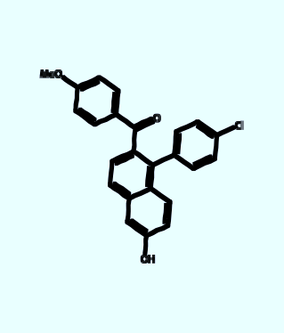 COc1ccc(C(=O)c2ccc3cc(O)ccc3c2-c2ccc(Cl)cc2)cc1